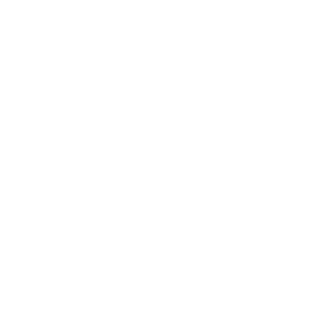 COc1c(Cl)cc(C=CC(=O)O)cc1Cl